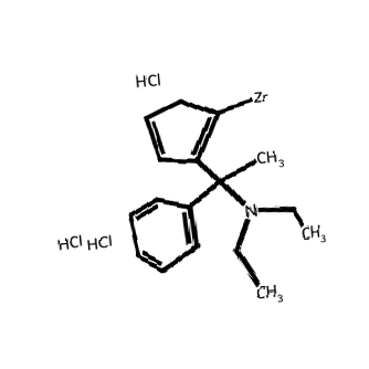 CCN(CC)C(C)(C1=[C]([Zr])CC=C1)c1ccccc1.Cl.Cl.Cl